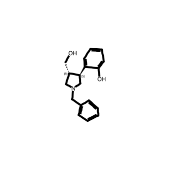 OC[C@H]1CN(Cc2ccccc2)C[C@@H]1c1ccccc1O